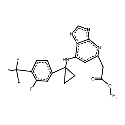 COC(=O)Cc1cc(NC2(c3ccc(C(F)(F)F)c(F)c3)CC2)n2ncnc2n1